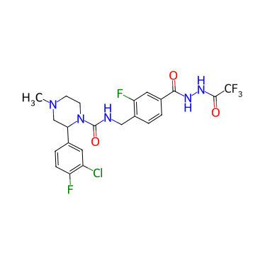 CN1CCN(C(=O)NCc2ccc(C(=O)NNC(=O)C(F)(F)F)cc2F)C(c2ccc(F)c(Cl)c2)C1